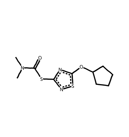 CN(C)C(=O)Sc1nsc(OC2CCCC2)n1